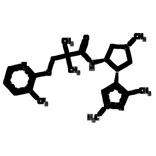 Cc1nn(C)cc1[C@H]1CN(C)C[C@@H]1NC(=O)C(C)(C)COc1ncccc1C(F)(F)F